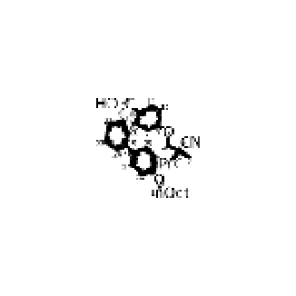 CCCC(C)(C#N)COc1ccc(C(=O)O)cc1.CCCCCCCCOc1ccc(-c2ccccc2)cc1